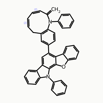 C=C1/C=C\C=C/Cc2cc(-c3cc4c5ccccc5n(-c5ccccc5)c4c4oc5ccccc5c34)ccc2N1c1ccccc1